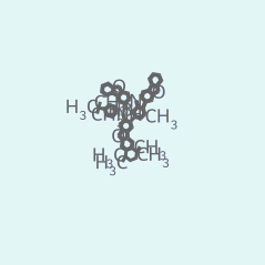 Cc1cc(-c2cc3c(cc2Nc2ccc(C(C)(C)C)cc2)oc2cc4c(cc23)C(C)(C)CCC4(C)C)c2c3c1c1cc4oc5ccccc5c4cc1n3-c1cc3oc4ccccc4c3cc1B2